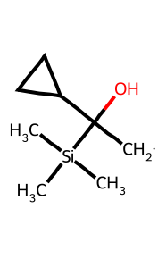 [CH2]C(O)(C1CC1)[Si](C)(C)C